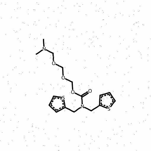 CN(C)COCOCOC(=O)N(Cc1cccs1)Cc1cccs1